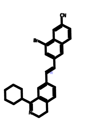 N#Cc1ccc2cc(/C=C/c3ccc4c(c3)C(C3CCCCC3)=NCC4)cc(Br)c2c1